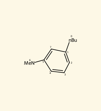 CCCCc1cc[c]c(NC)c1